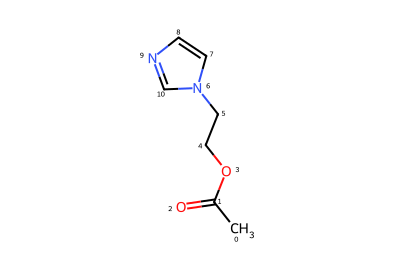 CC(=O)OCCn1ccnc1